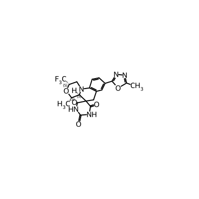 Cc1nnc(-c2ccc3c(c2)CC2(C(=O)NC(=O)NC2=O)[C@H]2[C@H](C)O[C@H](C(F)(F)F)CN32)o1